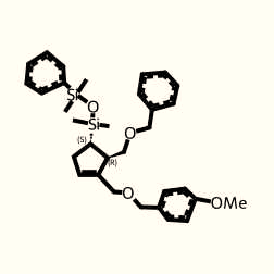 COc1ccc(COCC2=CC[C@H]([Si](C)(C)O[Si](C)(C)c3ccccc3)[C@H]2COCc2ccccc2)cc1